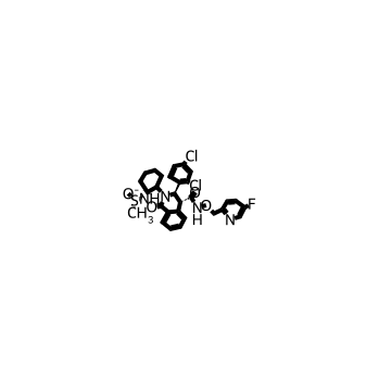 C[S+]([O-])N[C@H]1CCCCC1N1C(=O)c2ccccc2[C@@H](C(=O)NOCc2ccc(F)cn2)[C@@H]1c1ccc(Cl)cc1Cl